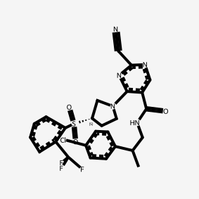 CC(CNC(=O)c1cnc(C#N)nc1N1CC[C@H](S(=O)(=O)c2ccccc2C(F)(F)F)C1)c1ccc(Cl)cc1